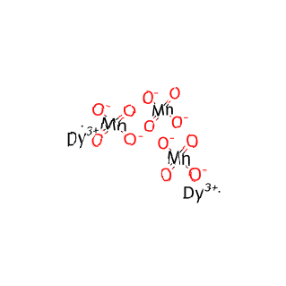 [Dy+3].[Dy+3].[O]=[Mn](=[O])([O-])[O-].[O]=[Mn](=[O])([O-])[O-].[O]=[Mn](=[O])([O-])[O-]